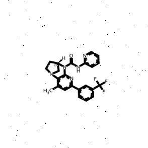 Cc1cc(-c2cccc(C(F)(F)F)c2)nc2c1N1CC[C@@H](C1)N2C(=O)Nc1ccccn1